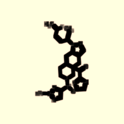 C=C(F)/C=C\C(=C/C)n1ncc2c1C=C1CCN([S+]([O-])c3cnn(CCC)n3)CC1(C(=O)c1nccs1)C2